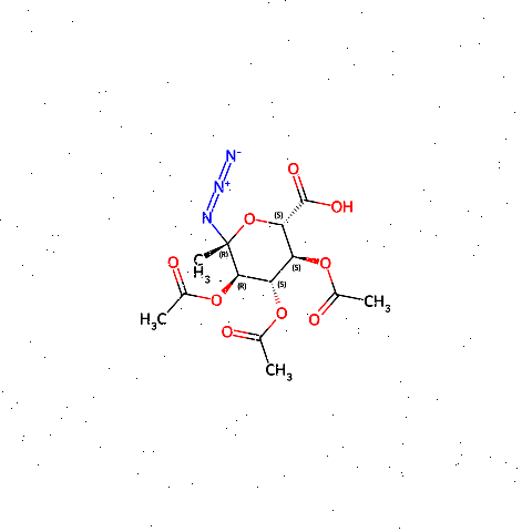 CC(=O)O[C@H]1[C@H](OC(C)=O)[C@@H](OC(C)=O)[C@](C)(N=[N+]=[N-])O[C@@H]1C(=O)O